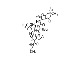 C=CCNC(=O)C(=O)C(CC1CC1)NC(=O)[C@@H]1[C@H]2CCC(C)(C)[C@H]2CN1C(=O)[C@@H](NC(=O)N[C@H](CN1C(=O)CC(C)(C)CC1=O)C(C)(C)C)C(C)(C)C